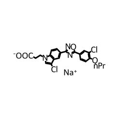 CCCOc1ccc(-c2nc(-c3ccc4c(c3)c(Cl)cn4CCC(=O)[O-])no2)cc1Cl.[Na+]